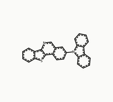 c1ccc2c(c1)sc1c3ccc(-n4c5ccccc5c5ccccc54)cc3cnc21